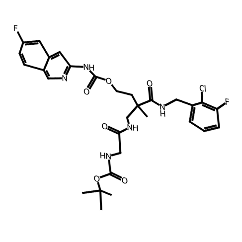 CC(C)(C)OC(=O)NCC(=O)NCC(C)(CCOC(=O)Nc1cc2cc(F)ccc2cn1)C(=O)NCc1cccc(F)c1Cl